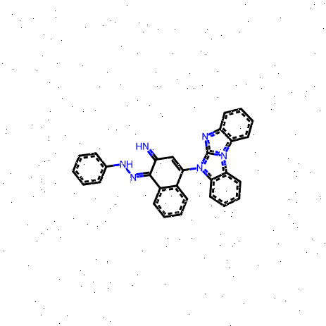 N=C1C=C(n2c3ccccc3n3c4ccccc4nc23)c2ccccc2/C1=N/Nc1ccccc1